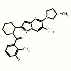 Cc1cn2nc([C@@H]3CCCCN3C(=O)c3cccc(Cl)c3C)cc2nc1N1CC[C@H](C)C1